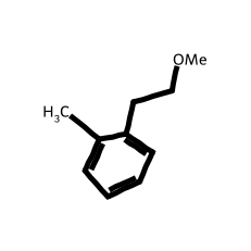 COCCc1ccccc1C